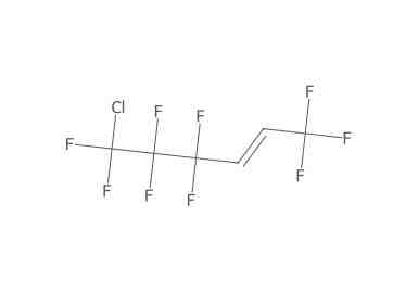 FC(F)(F)C=CC(F)(F)C(F)(F)C(F)(F)Cl